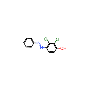 Oc1ccc(N=Nc2ccccc2)c(Cl)c1Cl